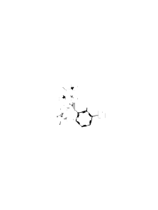 CS(=O)(=O)ON(OS(C)(=O)=O)c1cccc(Br)c1F